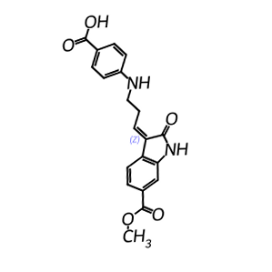 COC(=O)c1ccc2c(c1)NC(=O)/C2=C\CCNc1ccc(C(=O)O)cc1